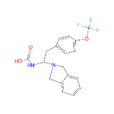 O=C(O)NC(Cc1ccc(OC(F)(F)F)cc1)N1Cc2ccccc2C1